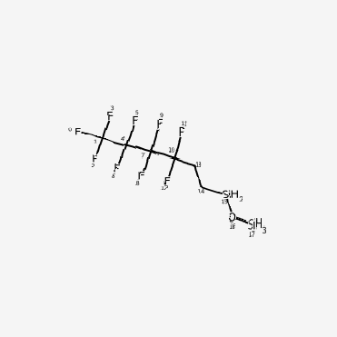 FC(F)(F)C(F)(F)C(F)(F)C(F)(F)CC[SiH2]O[SiH3]